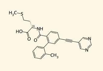 CSCC[C@H](NC(=O)c1ccc(C#Cc2cncnc2)cc1-c1ccccc1C)C(=O)O